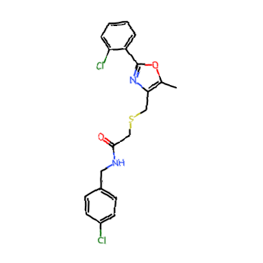 Cc1oc(-c2ccccc2Cl)nc1CSCC(=O)NCc1ccc(Cl)cc1